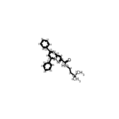 CN(C)CCNC(=O)c1cc2nc(-c3ccccc3)cc(-c3ccccc3)n2n1